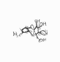 Cc1ccc(OC2OC(CO)C(O)C(O)C2O)c(Br)c1